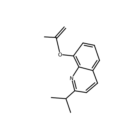 C=C(C)Oc1cccc2ccc(C(C)C)nc12